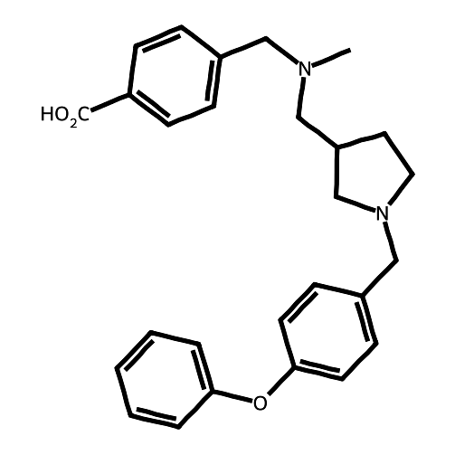 CN(Cc1ccc(C(=O)O)cc1)CC1CCN(Cc2ccc(Oc3ccccc3)cc2)C1